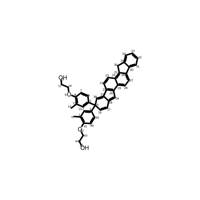 Cc1cc(C2(c3ccc(OCCO)c(C)c3)C=CC3=Cc4c(ccc5c6c(ccc45)-c4ccccc4C6)C3=C2)ccc1OCCO